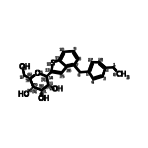 CCc1ccc(Cc2cccc3sc([C@@H]4O[C@H](CO)[C@@H](O)[C@H](O)[C@H]4O)cc23)cc1